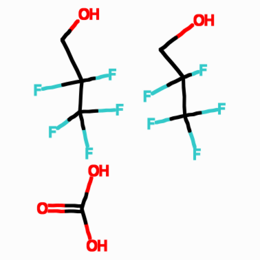 O=C(O)O.OCC(F)(F)C(F)(F)F.OCC(F)(F)C(F)(F)F